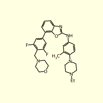 CCN1CCN(c2ccc(Nc3nc4cccc(-c5cc(F)c(CN6CCOCC6)c(F)c5)c4o3)cc2C)CC1